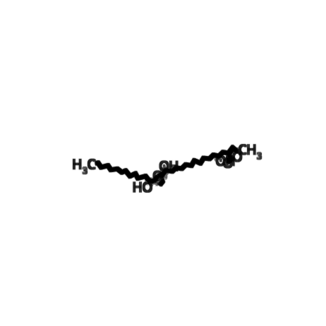 CCCCCCCCCCCC[C@H](O)[C@H]1CC[C@H]([C@H](O)CCCCCCCCCC[C@@H](O)CC2=C[C@H](C)OC2=O)O1